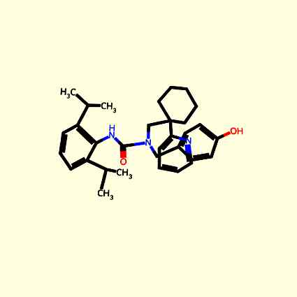 CC(C)c1cccc(C(C)C)c1NC(=O)N(Cc1ccc(O)cc1)CC1(c2ccccn2)CCCCC1